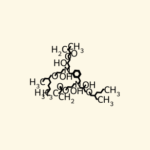 C=C(C)C(=O)OCC(O)CN(Cc1cccc(CN(CC(O)COCC(CC)CCCC)CC(O)COC(=O)C(=C)C)c1)CC(O)COCC(CC)CCCC